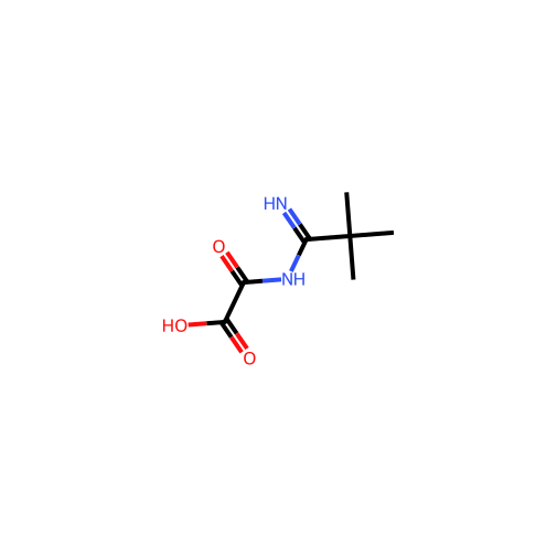 CC(C)(C)C(=N)NC(=O)C(=O)O